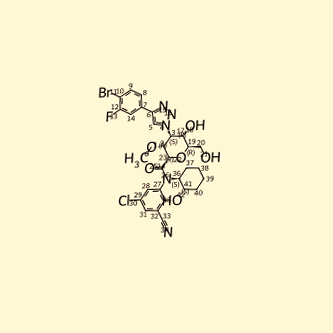 CO[C@@H]1[C@@H](n2cc(-c3ccc(Br)c(F)c3)nn2)[C@@H](O)[C@@H](CO)O[C@H]1C(=O)N(c1cc(Cl)cc(C#N)c1)[C@H]1CCCC[C@@H]1O